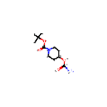 CC(C)(C)OC(=O)N1CCC(OC(N)=O)CC1